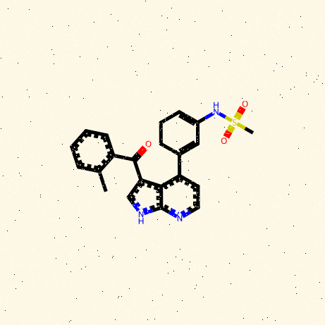 Cc1ccccc1C(=O)c1c[nH]c2nccc(C3=CC(NS(C)(=O)=O)=CCC3)c12